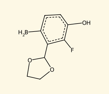 Bc1ccc(O)c(F)c1C1OCCO1